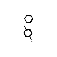 Clc1ccc(C[C@H]2C=CC=CC2)cc1